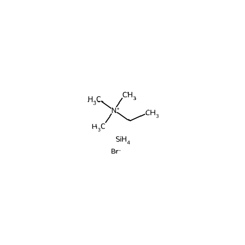 CC[N+](C)(C)C.[Br-].[SiH4]